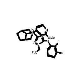 COc1cc(N2CC3CCC(C2)C3Nc2nc(Oc3cccc(F)c3F)n(CC(F)(F)F)n2)ccn1